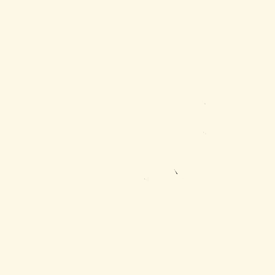 Cc1ccc(C)n1-c1ccc([C@@H](O)CN[C@H](CO)COCc2ccccc2)cn1